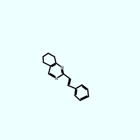 C(=Cc1ncc2c(n1)CCCC2)c1ccccc1